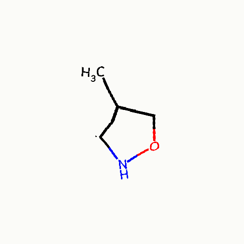 CC1[CH]NOC1